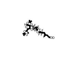 CC1(C)O[C@H]2O[C@H]([C@H]3COC(C)(C)O3)[C@@H](OS(=O)(=O)C(F)(F)C(F)(F)OC(F)(F)C(F)(F)C=C(I)CC=C=O)[C@H]2O1